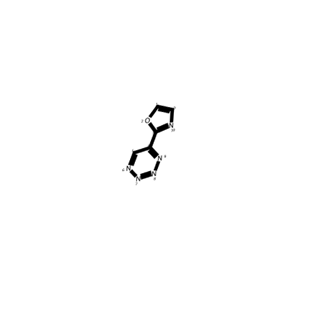 c1coc(-c2cnnnn2)n1